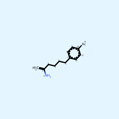 C=C(N)CCCCc1ccc(C(C)=O)cc1